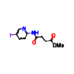 COC(=O)CCC(=O)Nc1ccc(I)cn1